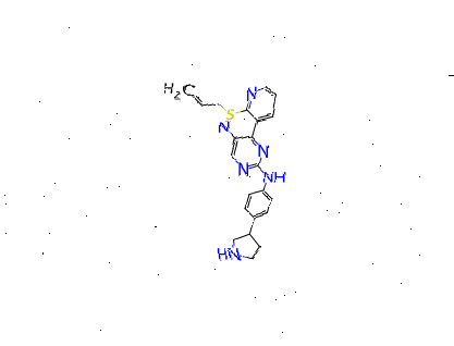 C=CCS1=Nc2cnc(Nc3ccc(C4CCNC4)cc3)nc2-c2cccnc21